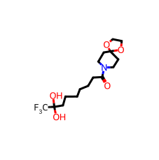 O=C(CCCCCCC(O)(O)C(F)(F)F)N1CCC2(CC1)OCCO2